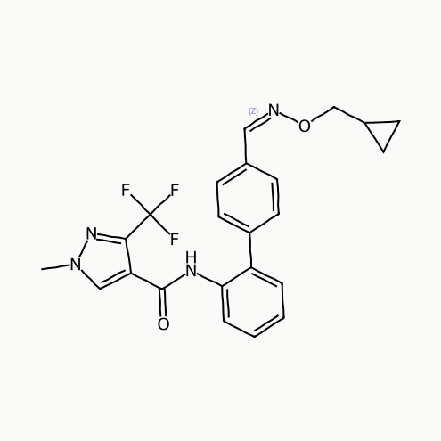 Cn1cc(C(=O)Nc2ccccc2-c2ccc(/C=N\OCC3CC3)cc2)c(C(F)(F)F)n1